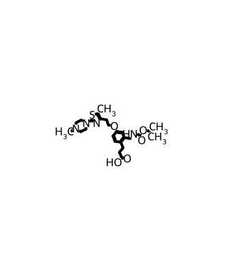 Cc1sc(N2CCN(C)CC2)nc1CCOc1ccc(CCC(=O)O)c(CNC(=O)OC(C)C)c1